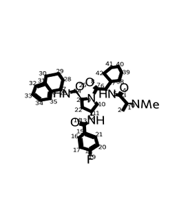 CN[C@@H](C)C(=O)N[C@H](C(=O)N1C[C@@H](NC(=O)c2ccc(F)cc2)C[C@H]1C(=O)N[C@@H]1CCCc2ccccc21)C1CCCCC1